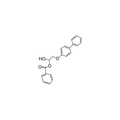 O=C(OC(O)COc1ccc(-c2ccccc2)cc1)c1ccccc1